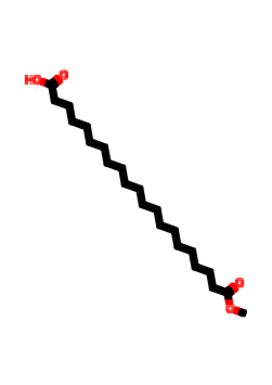 COC(=O)CCCCCCCCCCCCCCCCCCCC(=O)O